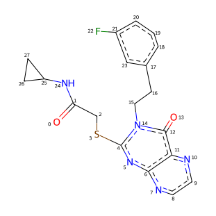 O=C(CSc1nc2nccnc2c(=O)n1CCc1cccc(F)c1)NC1CC1